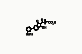 COc1cccc(-c2ccc3c(c2)C(=O)C(C(=O)NCC(=O)O)=C3O)c1